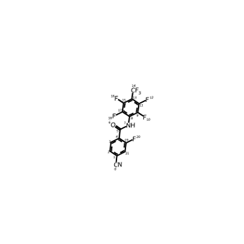 N#Cc1ccc(C(=O)Nc2c(F)c(F)c(C(F)(F)F)c(F)c2F)c(F)c1